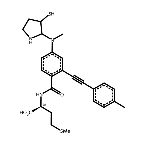 CSCC[C@H](NC(=O)c1ccc(N(C)C2NCCC2S)cc1C#Cc1ccc(C)cc1)C(=O)O